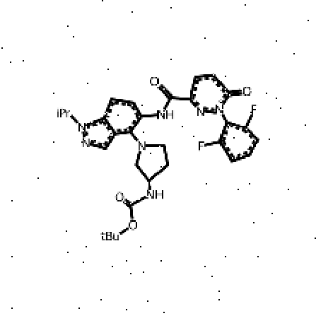 CC(C)n1ncc2c(N3CC[C@@H](NC(=O)OC(C)(C)C)C3)c(NC(=O)c3ccc(=O)n(-c4c(F)cccc4F)n3)ccc21